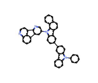 c1ccc(-n2c3ccccc3c3cc(-c4ccc5c(c4)c4ccc6ccccc6c4n5-c4cnc5c(c4)-c4cccc6nccc-5c46)ccc32)cc1